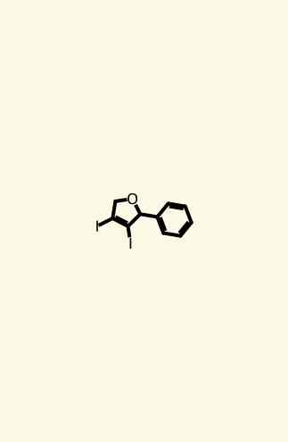 IC1=C(I)C(c2ccccc2)OC1